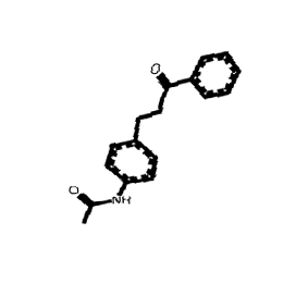 CC(=O)Nc1ccc(CCC(=O)c2ccccc2)cc1